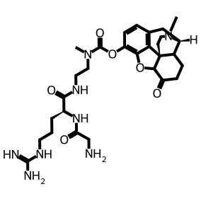 CN(CCNC(=O)[C@H](CCCNC(=N)N)NC(=O)CN)C(=O)Oc1ccc2c3c1OC1C(=O)CCC4[C@@H](C2)N(C)CC[C@]314